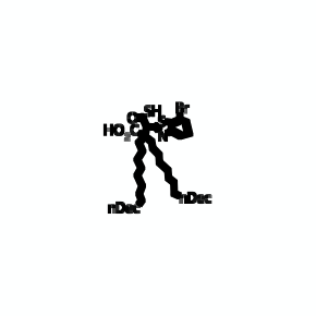 CCCCCCCCCCCCCCCCCCC(CCCCCCCCCCCCCCCCCC)(C(=O)O)C(C(=O)S)c1nc2cccc(Br)c2s1